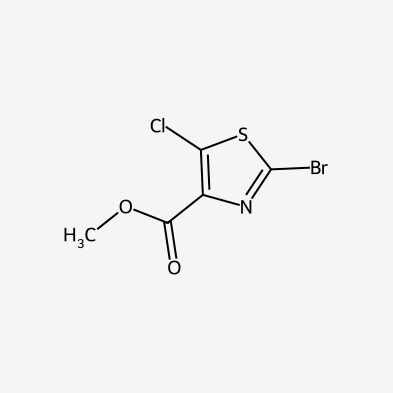 COC(=O)c1nc(Br)sc1Cl